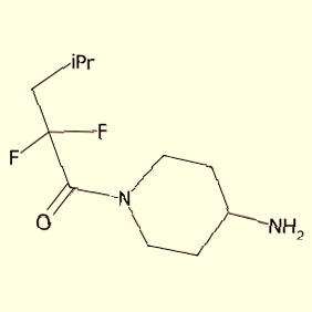 CC(C)CC(F)(F)C(=O)N1CCC(N)CC1